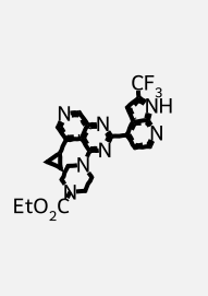 CCOC(=O)N1CCN(c2nc(-c3ccnc4[nH]c(C(F)(F)F)cc34)nc3cncc(C4CC4)c23)CC1